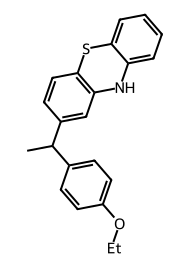 CCOc1ccc(C(C)c2ccc3c(c2)Nc2ccccc2S3)cc1